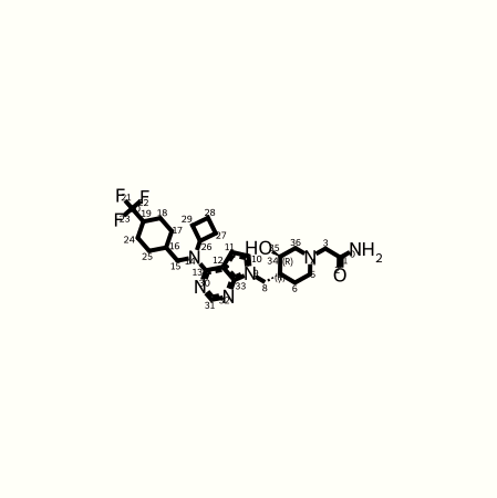 NC(=O)CN1CC[C@H](Cn2ccc3c(N(CC4CCC(C(F)(F)F)CC4)C4CCC4)ncnc32)[C@@H](O)C1